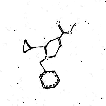 COC(=O)C1=CCN(Cc2ccccc2)C(C2CC2)C1